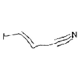 N#CC=CI